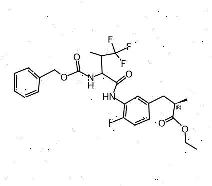 CCOC(=O)[C@H](C)Cc1ccc(F)c(NC(=O)C(NC(=O)OCc2ccccc2)C(C)C(F)(F)F)c1